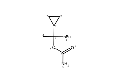 CCCCC(C)(OC(N)=O)C1CC1